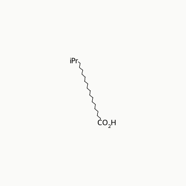 CC(C)CCCCCCCCCCCCCCCCCC(=O)O